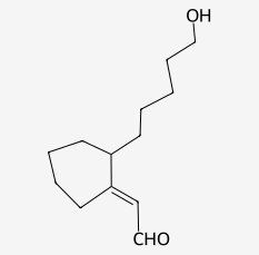 O=CC=C1CCCCC1CCCCCO